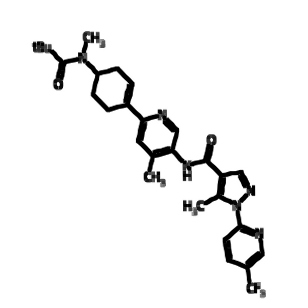 Cc1cc(C2=CCC(N(C)C(=O)C(C)(C)C)CC2)ncc1NC(=O)c1cnn(-c2ccc(C(F)(F)F)cn2)c1C